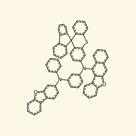 c1ccc(N(c2cccc(N(c3ccc4c(c3)Sc3ccccc3C43c4ccccc4-c4ccccc43)c3c4ccccc4cc4oc5ccccc5c34)c2)c2ccc3c(c2)oc2ccccc23)cc1